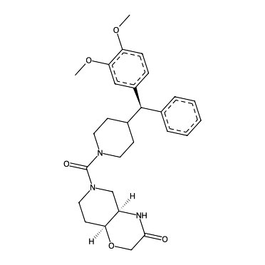 COc1ccc([C@@H](c2ccccc2)C2CCN(C(=O)N3CC[C@@H]4OCC(=O)N[C@@H]4C3)CC2)cc1OC